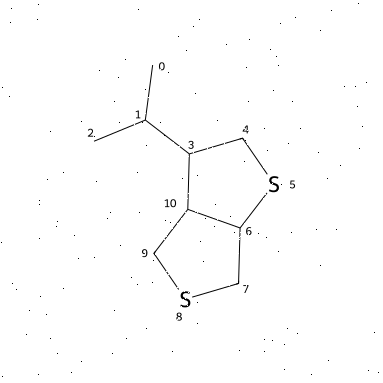 CC(C)C1CSC2CSCC21